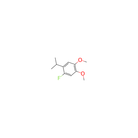 COc1cc(F)c(C(C)C)cc1OC